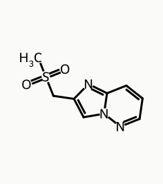 CS(=O)(=O)Cc1cn2ncccc2n1